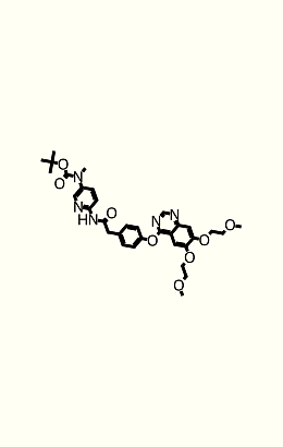 COCCOc1cc2ncnc(Oc3ccc(CC(=O)Nc4ccc(N(C)C(=O)OC(C)(C)C)cn4)cc3)c2cc1OCCOC